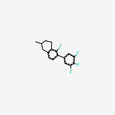 CC1CCc2c(ccc(-c3cc(F)c(F)c(F)c3)c2F)C1